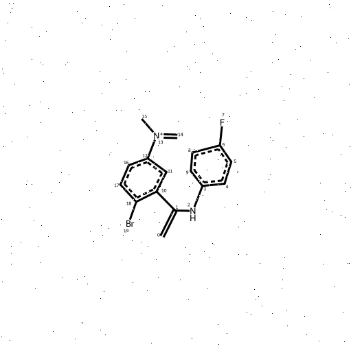 C=C(Nc1ccc(F)cc1)c1cc([N+](=C)C)ccc1Br